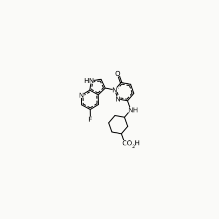 O=C(O)C1CCCC(Nc2ccc(=O)n(-c3c[nH]c4ncc(F)cc34)n2)C1